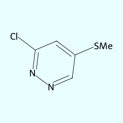 CSc1cnnc(Cl)c1